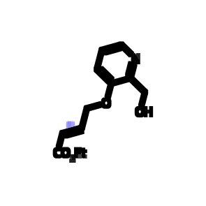 CCOC(=O)/C=C/COc1cccnc1CO